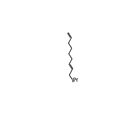 C=CCCCCC=CCC(C)C